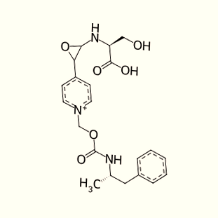 C[C@@H](Cc1ccccc1)NC(=O)OC[n+]1ccc(C2OC2N[C@@H](CO)C(=O)O)cc1